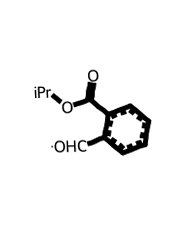 CC(C)OC(=O)c1ccccc1[C]=O